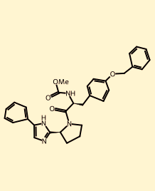 COC(=O)N[C@@H](Cc1ccc(OCc2ccccc2)cc1)C(=O)N1CCC[C@H]1c1ncc(-c2ccccc2)[nH]1